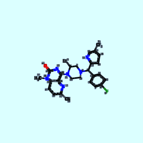 CCC1CN(C(c2ccc(F)cc2)c2ccc(C(F)(F)F)cn2)CCN1c1nc(=O)n(C)c2ccc(C#N)nc12